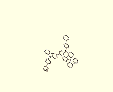 c1ccc(-c2ccc(N(c3ccc(-c4ccc5c(c4)c4ccccc4n5-c4ccc(-c5cccnc5)cc4)cc3)c3cccc4c3-c3ccccc3C43c4ccccc4-c4ccccc43)cc2)cc1